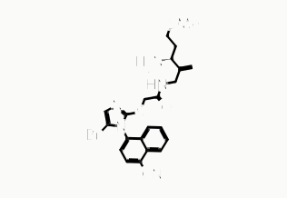 C=C(CNC(=O)CSc1ncc(Br)n1-c1ccc(C#N)c2ccccc12)[C@@H](N)CCSC